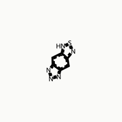 c1c2nnnc2cc2[nH]snc12